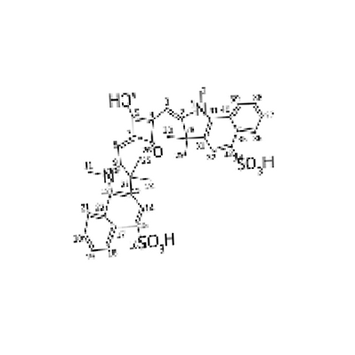 CN1/C(=C/C2=C(O)C(=C/C3=[N+](C)c4c(cc(S(=O)(=O)O)c5ccccc45)C3(C)C)/C2=O)C(C)(C)c2cc(S(=O)(=O)O)c3ccccc3c21